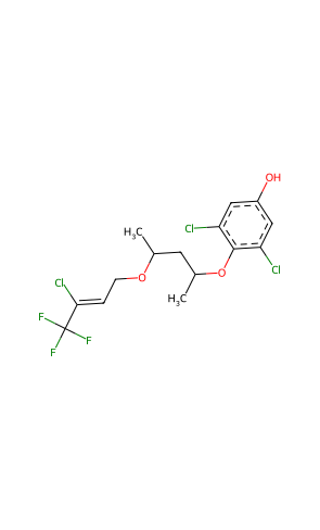 CC(CC(C)Oc1c(Cl)cc(O)cc1Cl)OCC=C(Cl)C(F)(F)F